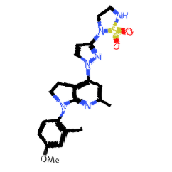 COc1ccc(N2CCc3c(-n4ccc(N5CCNS5(=O)=O)n4)cc(C)nc32)c(C)c1